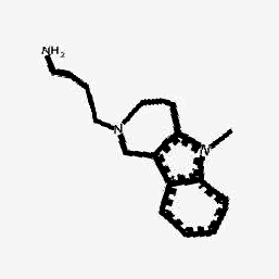 Cn1c2c(c3ccccc31)CN(CCCN)CC2